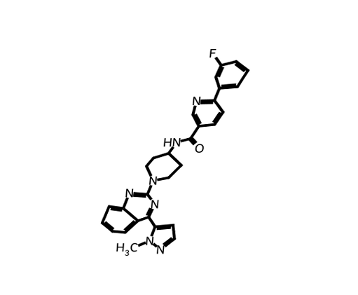 Cn1nccc1-c1nc(N2CCC(NC(=O)c3ccc(-c4cccc(F)c4)nc3)CC2)nc2ccccc12